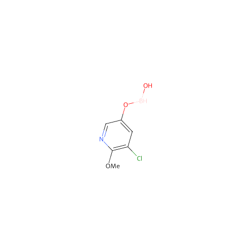 COc1ncc(OBO)cc1Cl